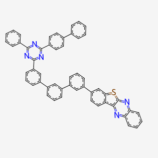 c1ccc(-c2ccc(-c3nc(-c4ccccc4)nc(-c4cccc(-c5cccc(-c6cccc(-c7ccc8c(c7)sc7nc9ccccc9nc78)c6)c5)c4)n3)cc2)cc1